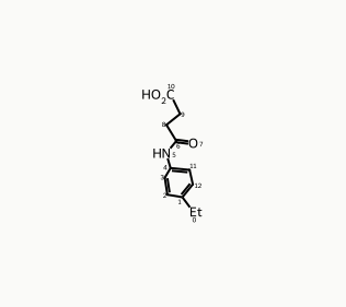 CCc1ccc(NC(=O)CCC(=O)O)cc1